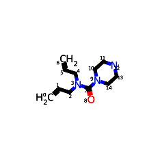 C=CCN(CC=C)C(=O)N1CC[N]CC1